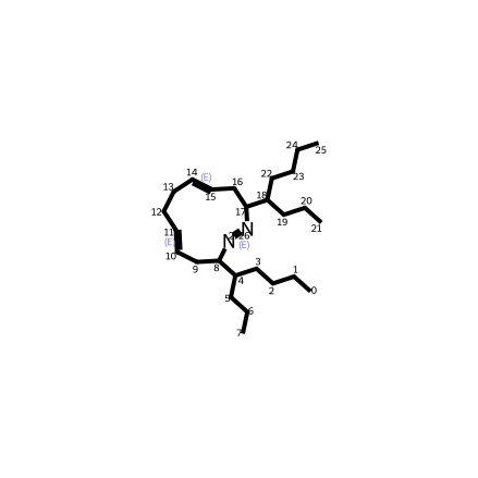 CCCCC(CCC)C1C/C=C/CC/C=C/CC(C(CCC)CCCC)/N=N/1